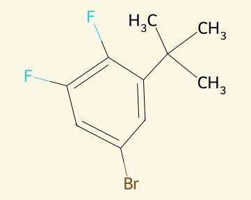 CC(C)(C)c1cc(Br)cc(F)c1F